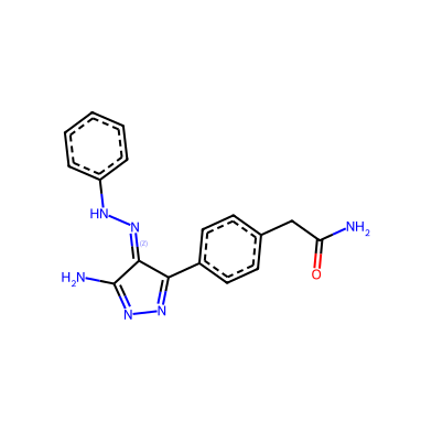 NC(=O)Cc1ccc(C2=NN=C(N)/C2=N\Nc2ccccc2)cc1